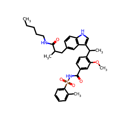 CCCCCNC(=O)C(C)Cc1ccc2[nH]cc(C(C)c3ccc(C(=O)NS(=O)(=O)c4ccccc4C)cc3OC)c2c1